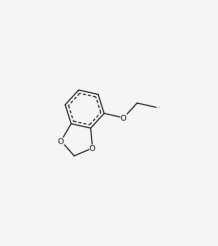 [CH2]COc1cccc2c1OCO2